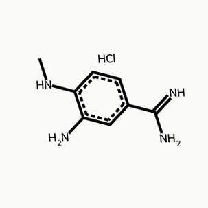 CNc1ccc(C(=N)N)cc1N.Cl